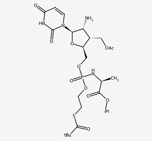 CC(=O)OC[C@H]1[C@@H](N)[C@H](n2ccc(=O)[nH]c2=O)O[C@@H]1COP(=O)(N[C@@H](C)C(=O)OC(C)C)OCCSC(=O)C(C)(C)C